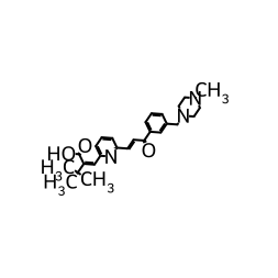 CN1CCN(Cc2cccc(C(=O)C=Cc3cccc(C=C(C(=O)O)C(C)(C)C)n3)c2)CC1